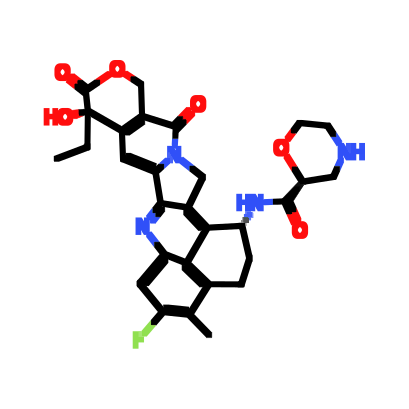 CC[C@]1(O)C(=O)OCc2c1cc1n(c2=O)Cc2c-1nc1cc(F)c(C)c3c1c2[C@H](NC(=O)[C@@H]1CNCCO1)CC3